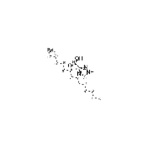 CCCCCCCCCCCCCCP.O=C(O)c1nc[nH]n1